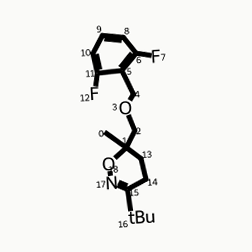 CC1(COCc2c(F)cccc2F)CCC(C(C)(C)C)=NO1